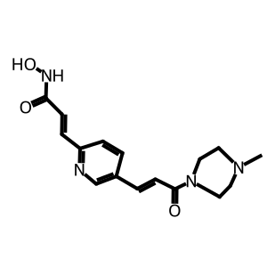 CN1CCN(C(=O)C=Cc2ccc(C=CC(=O)NO)nc2)CC1